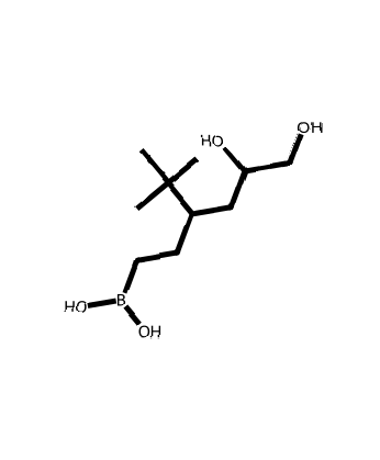 CC(C)(C)C(CCB(O)O)CC(O)CO